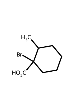 CC1CCCCC1(Br)C(=O)O